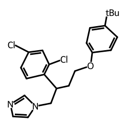 CC(C)(C)c1ccc(OCCC(Cn2ccnc2)c2ccc(Cl)cc2Cl)cc1